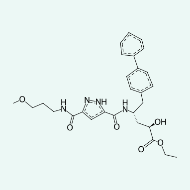 CCOC(=O)[C@H](O)C[C@@H](Cc1ccc(-c2ccccc2)cc1)NC(=O)c1cc(C(=O)NCCCOC)n[nH]1